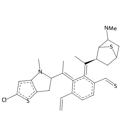 C=Cc1ccc(C=S)c(=C(/C)[C@@H]2CC3CC(NC)C2S3)/c1=C(\C)C1Cc2sc(Cl)cc2N1C